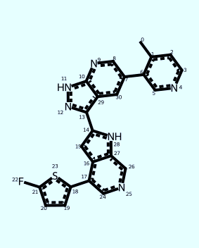 Cc1ccncc1-c1cnc2[nH]nc(-c3cc4c(-c5ccc(F)s5)cncc4[nH]3)c2c1